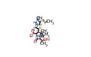 CCSc1c2sc(C3=C(C(=O)[O-])N4C(=O)[C@H]([C@@H](C)O)[C@@H]4C3(C)C)c[n+]2cn1C